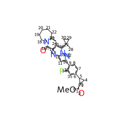 COC(=O)[C@@H]1CC1c1ccc(-c2cc3nc(C(=O)N4CCCCC[C@H]4C)cc(C4(C)CC4)n3n2)c(F)c1